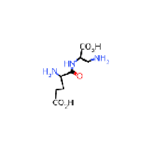 NCC(NC(=O)C(N)CCC(=O)O)C(=O)O